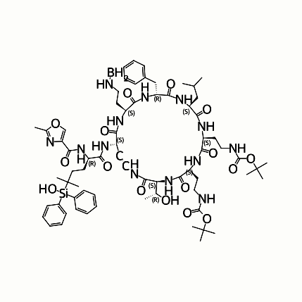 BNCC[C@@H]1NC(=O)[C@@H](NC(=O)[C@@H](CCC(C)(C)[Si](O)(c2ccccc2)c2ccccc2)NC(=O)c2coc(C)n2)CCNC(=O)[C@H]([C@@H](C)O)NC(=O)[C@H](CCNC(=O)OC(C)(C)C)NC(=O)[C@H](CCNC(=O)OC(C)(C)C)NC(=O)[C@H](CC(C)C)NC(=O)[C@@H](Cc2ccccc2)NC1=O